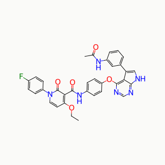 CCOc1ccn(-c2ccc(F)cc2)c(=O)c1C(=O)Nc1ccc(Oc2ncnc3[nH]cc(-c4cccc(NC(C)=O)c4)c23)cc1